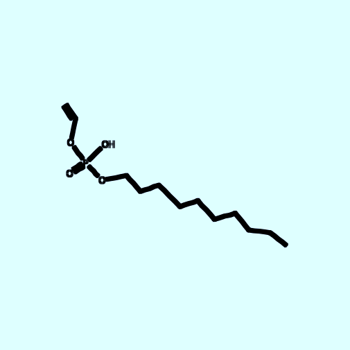 C=COP(=O)(O)OCCCCCCCCCC